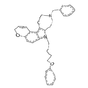 C1=Cc2c(ccc3c2c2c(n3CCCCOc3ccccc3)CCN(Cc3ccccc3)CC2)OC1